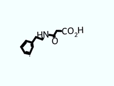 O=C(O)CC(=O)NCCc1c[c]ccc1